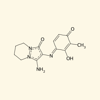 CC1=C(O)C(=Nc2c(N)n3n(c2=O)CCCC3)C=CC1=O